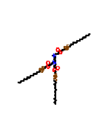 CCCCCCCCCCCCCCSSSCCOC(=O)CCN(C)CCCN(CCC(=O)OCCSSSCCCCCCCCCCCCCC)CCC(=O)OCCSSSCCCCCCCCCCCCCC